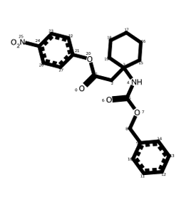 O=C(CC1(NC(=O)OCc2ccccc2)CCCCC1)Oc1ccc([N+](=O)[O-])cc1